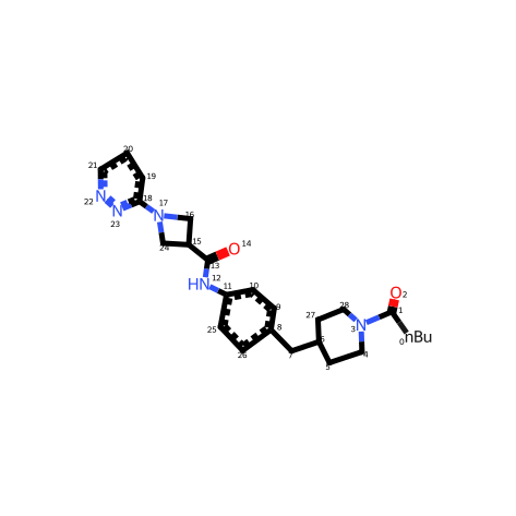 CCCCC(=O)N1CCC(Cc2ccc(NC(=O)C3CN(c4cccnn4)C3)cc2)CC1